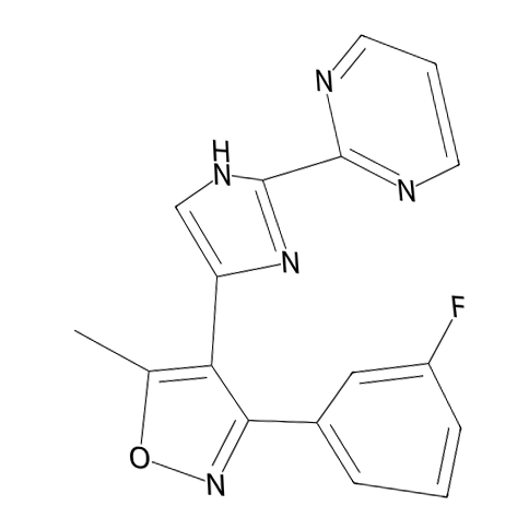 Cc1onc(-c2cccc(F)c2)c1-c1c[nH]c(-c2ncccn2)n1